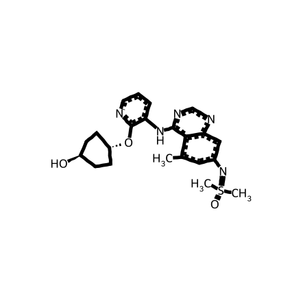 Cc1cc(N=S(C)(C)=O)cc2ncnc(Nc3cccnc3O[C@H]3CC[C@H](O)CC3)c12